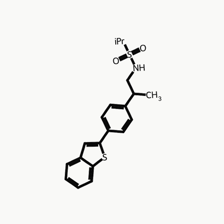 CC(CNS(=O)(=O)C(C)C)c1ccc(-c2cc3ccccc3s2)cc1